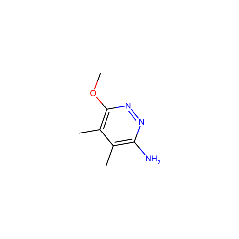 COc1nnc(N)c(C)c1C